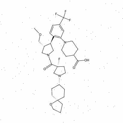 COC[C@H]1CN(C(=O)[C@@]2(F)CCN([C@H]3CC[C@@]4(CCCO4)CC3)C2)C[C@@H]1c1ccc(C(F)(F)F)cc1N1CCC(C(=O)O)CC1